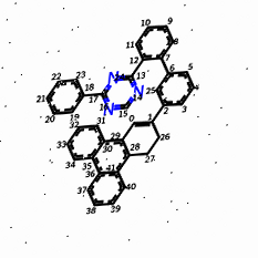 C1=C(c2cccc(-c3ccccc3-c3ncnc(-c4ccccc4)n3)c2)CCc2c1c1ccccc1c1ccccc21